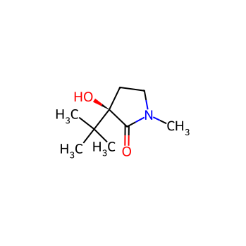 CN1CC[C@@](O)(C(C)(C)C)C1=O